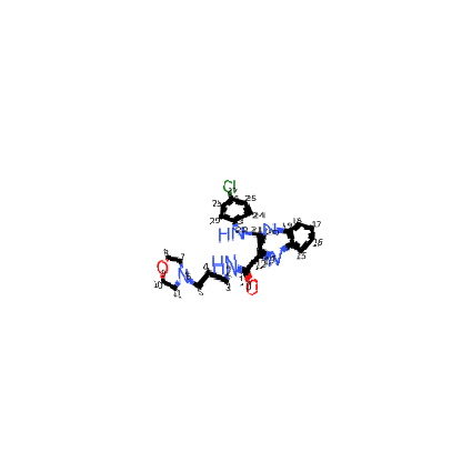 O=C(NCCCN1CCOCC1)c1nc2ccccc2nc1Nc1ccc(Cl)cc1